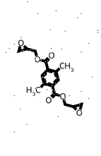 Cc1cc(C(=O)OCC2CO2)c(C)cc1C(=O)OCC1CO1